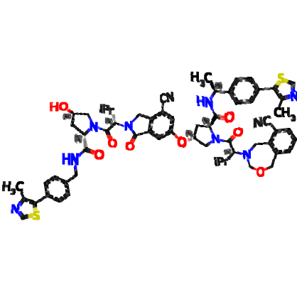 Cc1ncsc1-c1ccc(CNC(=O)[C@@H]2C[C@@H](O)CN2C(=O)[C@H](C(C)C)N2Cc3c(C#N)cc(O[C@@H]4C[C@@H](C(=O)N[C@@H](C)c5ccc(-c6scnc6C)cc5)N(C(=O)[C@H](C(C)C)N5COCc6cccc(C#N)c6C5)C4)cc3C2=O)cc1